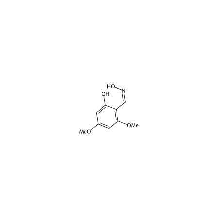 COc1cc(O)c(/C=N\O)c(OC)c1